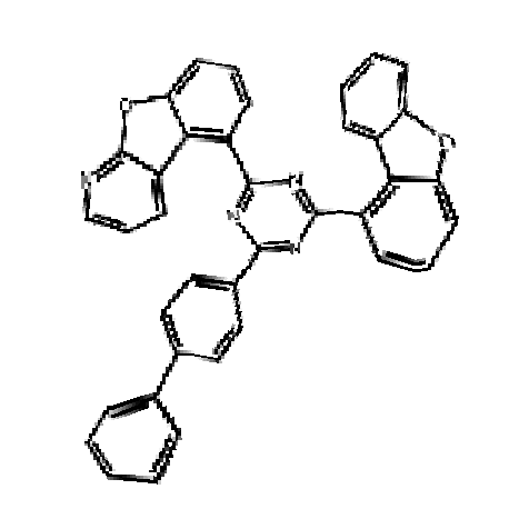 c1ccc(-c2ccc(-c3nc(-c4cccc5oc6ccccc6c45)nc(-c4cccc5oc6ncccc6c45)n3)cc2)cc1